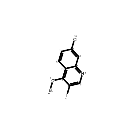 CCOc1c(I)cnc2cc(Cl)ccc12